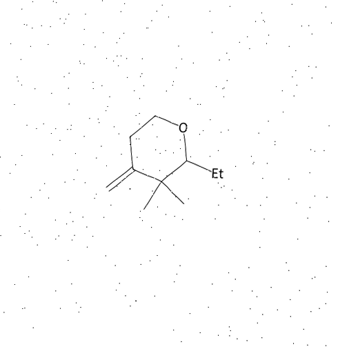 C=C1CCOC(CC)C1(C)C